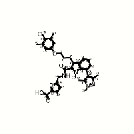 Cc1cc(OCCCc2c(C(=O)NCc3ccc(C(=O)O)o3)n(C)c3c(-c4c(C)nn(C)c4C)cccc23)cc(C)c1Cl